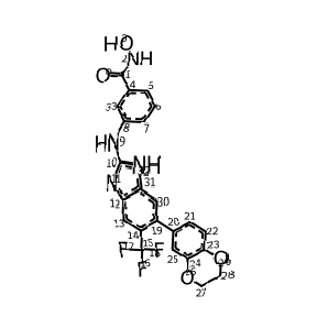 O=C(NO)c1cccc(Nc2nc3cc(C(F)(F)F)c(-c4ccc5c(c4)OCCO5)cc3[nH]2)c1